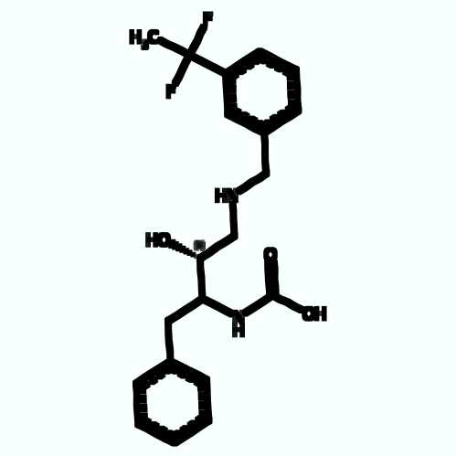 CC(F)(F)c1cccc(CNC[C@@H](O)C(Cc2ccccc2)NC(=O)O)c1